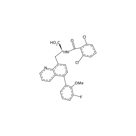 COc1c(F)cccc1-c1ccc(C[C@H](NC(=O)c2c(Cl)cccc2Cl)C(=O)O)c2ncccc12